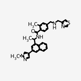 Cc1cc(CNCc2cscn2)ccc1C(=O)NC(C)c1cc(-c2cnn(C)c2)cc2ccccc12